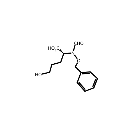 O=CN(OCc1ccccc1)[C@@H](CCCO)C(=O)O